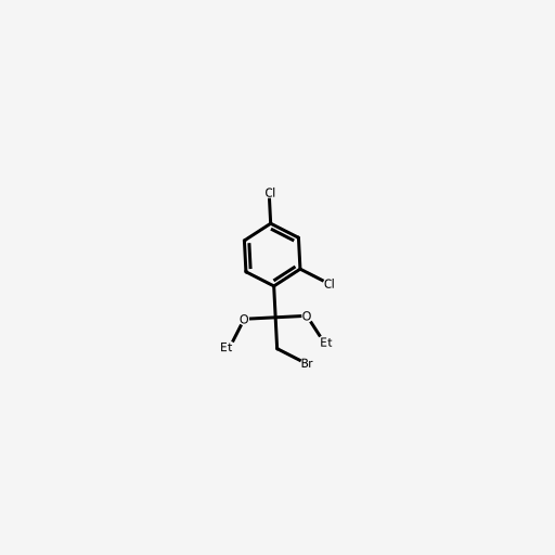 CCOC(CBr)(OCC)c1ccc(Cl)cc1Cl